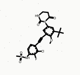 COc1c(C#Cc2ccc(NS(C)(=O)=O)c(F)c2Cl)cc(N2C(=O)CCNC2=O)cc1C(C)(C)C